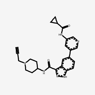 C#CCN1CCC(NC(=O)c2n[nH]c3ccc(-c4cncc(NC(=O)C5CC5)c4)cc23)CC1